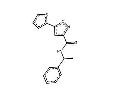 C[C@H](NC(=O)c1cc(-c2cccs2)on1)c1ccccc1